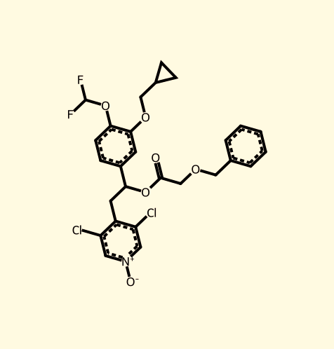 O=C(COCc1ccccc1)OC(Cc1c(Cl)c[n+]([O-])cc1Cl)c1ccc(OC(F)F)c(OCC2CC2)c1